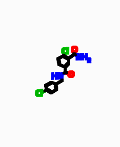 NC(=O)c1cc(C(=O)NCc2ccc(Cl)cc2)ccc1Cl